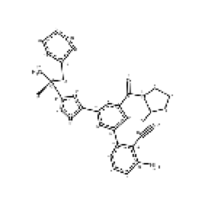 CC1CCCN1C(=O)c1cc(-c2nnc([C@](C)(N)Cc3ccccc3)o2)cc(-c2cccc(N)c2C#N)c1